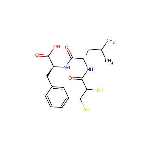 CC(C)C[C@H](NC(=O)C(S)CS)C(=O)N[C@@H](Cc1ccccc1)C(=O)O